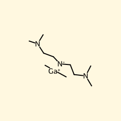 CN(C)CC[N-]CCN(C)C.[CH3][Ga+][CH3]